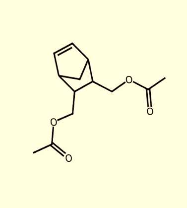 CC(=O)OCC1C2C=CC(C2)C1COC(C)=O